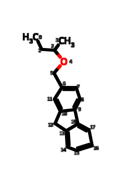 CCC(C)OCc1ccc2c(c1)Cc1ccccc1-2